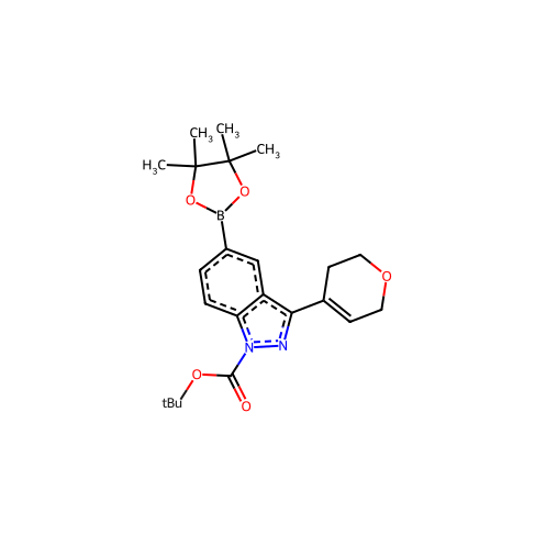 CC(C)(C)OC(=O)n1nc(C2=CCOCC2)c2cc(B3OC(C)(C)C(C)(C)O3)ccc21